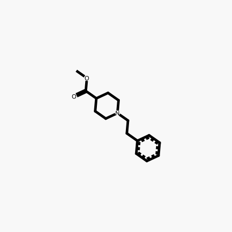 COC(=O)C1CCN(CCc2ccccc2)CC1